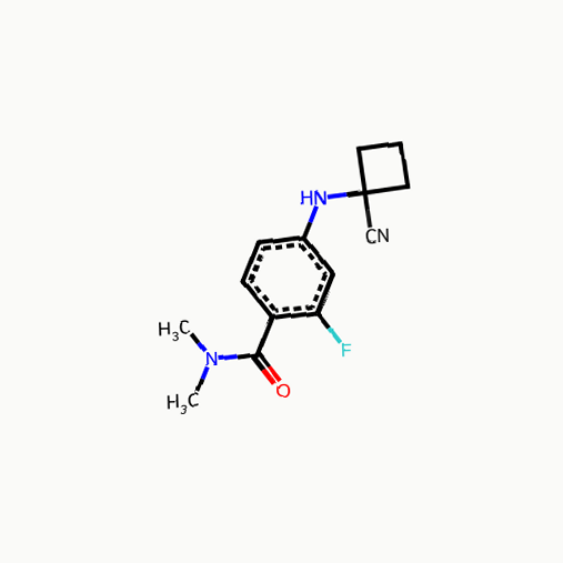 CN(C)C(=O)c1ccc(NC2(C#N)CCC2)cc1F